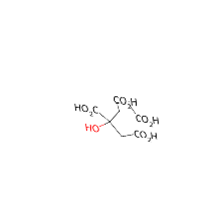 O=C(O)CC(O)(CC(=O)O)C(=O)O.[CH2]C(=O)O